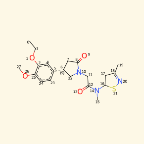 CCOc1cc([C@@H]2CC(=O)N(CC(=O)N(C)C3CC(C)=NS3)C2)ccc1OC